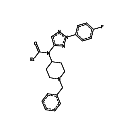 CCC(=O)N(c1cnn(-c2ccc(F)cc2)n1)C1CCN(Cc2ccccc2)CC1